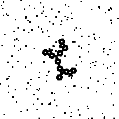 CC1(C)c2ccccc2-c2ccc(N(c3ccc(-c4ccc5c(c4)c4cc6c(cc4n5-c4ccccc4)C(C)(C)c4ccccc4-6)cc3)c3ccc(-c4cccc5c4sc4ccccc45)cc3)cc21